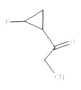 N#CCC(=O)C1CC1F